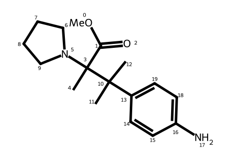 COC(=O)C(C)(N1CCCC1)C(C)(C)c1ccc(N)cc1